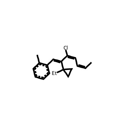 C\C=C/C=C(Cl)\C(=C\c1ccccc1C)C1(CC)CC1